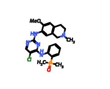 COc1cc2c(cc1Nc1ncc(Cl)c(Nc3ccccc3P(C)(C)=O)n1)CN(C)CC2